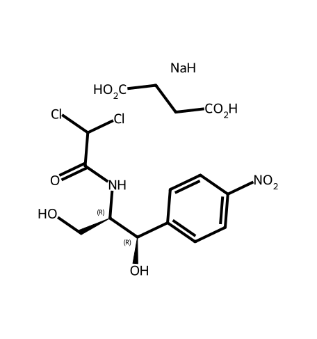 O=C(N[C@H](CO)[C@H](O)c1ccc([N+](=O)[O-])cc1)C(Cl)Cl.O=C(O)CCC(=O)O.[NaH]